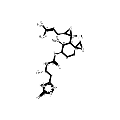 CC[C@@H](Cc1noc(=O)[nH]1)NC(=O)O[C@@H]1CC[C@]2(CO2)C([C@@]2(C)O[C@@H]2CC=C(C)C)[C@@H]1OC